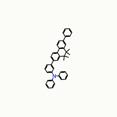 CC1(C)c2cc(-c3ccccc3)ccc2-c2ccc(-c3cccc(N(c4ccccc4)c4ccccc4)c3)cc2C1(C)C